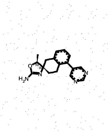 C[C@@H]1OC(N)=N[C@]12CCc1c(cccc1-c1cncnc1)C2